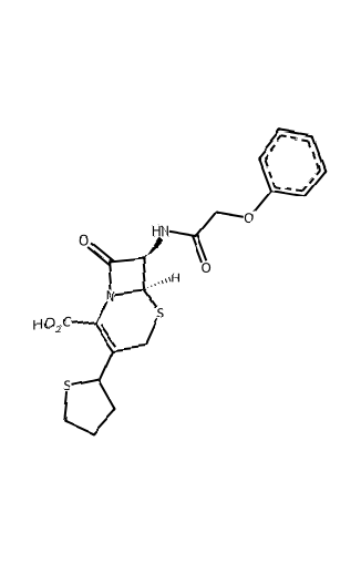 O=C(COc1ccccc1)N[C@@H]1C(=O)N2C(C(=O)O)=C(C3CCCS3)CS[C@H]12